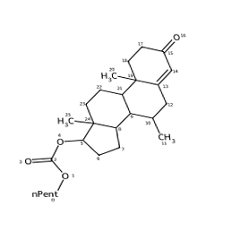 CCCCCOC(=O)OC1CCC2C3C(C)CC4=CC(=O)CCC4(C)C3CCC12C